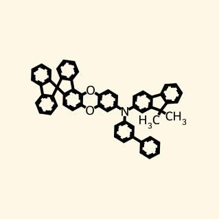 CC1(C)c2ccccc2-c2ccc(N(c3cccc(-c4ccccc4)c3)c3ccc4c(c3)Oc3ccc5c(c3O4)-c3ccccc3C53c4ccccc4-c4ccccc43)cc21